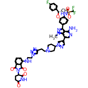 C[C@H](Oc1cc(-c2nn(C)c3c(-c4cnn(C5CCN(CCc6cn(CCNc7cccc8c7C(=O)N(C7CCC(=O)NC7=O)C8=O)nn6)CC5)c4)cnc(N)c23)ccc1NS(=O)(=O)C(F)F)c1ccc(F)cc1